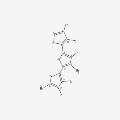 CC1=CCC(C2=C(C)C(Br)=C(C3=C(C)C(C)=C(Br)C3)C2)=C1C